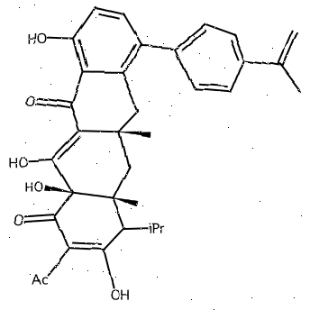 C=C(C)c1ccc(-c2ccc(O)c3c2C[C@]2(C)C[C@]4(C)C(C(C)C)C(O)=C(C(C)=O)C(=O)[C@]4(O)C(O)=C2C3=O)cc1